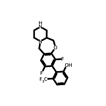 Oc1cccc(C(F)(F)F)c1-c1c(F)cc2c(c1F)OCC1CNCCN1C2